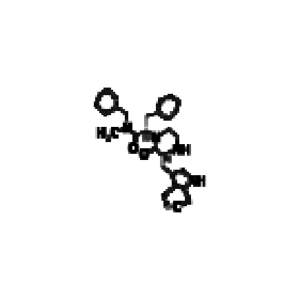 CN(Cc1ccccc1)C(=O)[C@H](Cc1ccccc1)N1CCN[C@H](Cc2c[nH]c3ccccc23)C1=O